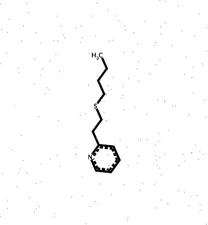 CCC[CH]SCCc1ccccn1